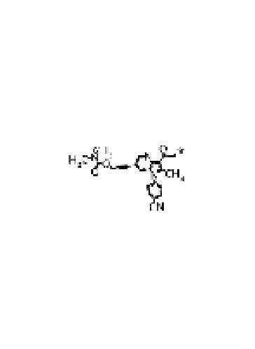 Cc1c(C(=O)CBr)c2ncc(C#CCOC(=O)N(C)C)cc2n1-c1ccc(C#N)cc1